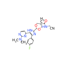 CN(C)c1nccc(-c2[nH]c(C3OCC(C)(C(=O)NCC#N)CO3)nc2-c2ccc(F)cc2)n1